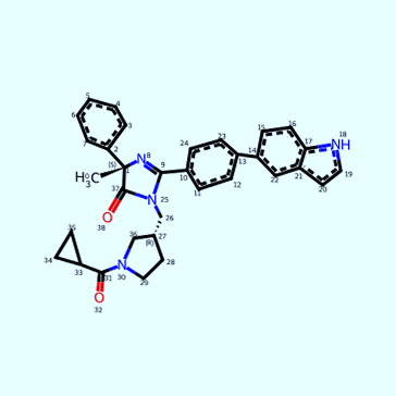 C[C@@]1(c2ccccc2)N=C(c2ccc(-c3ccc4[nH]ccc4c3)cc2)N(C[C@@H]2CCN(C(=O)C3CC3)C2)C1=O